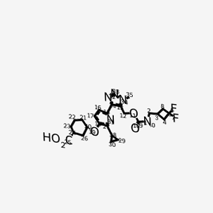 CN(CC1CC(F)(F)C1)C(=O)OCc1c(-c2ccc(O[C@H]3CCC[C@H](C(=O)O)C3)c(C3CC3)n2)nnn1C